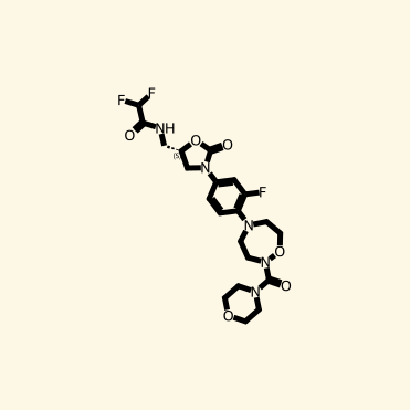 O=C(NC[C@H]1CN(c2ccc(N3CCON(C(=O)N4CCOCC4)CC3)c(F)c2)C(=O)O1)C(F)F